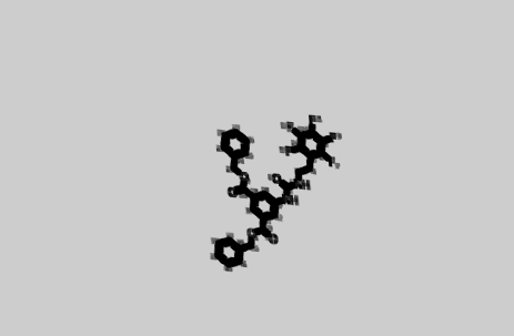 O=C(NCCc1c(F)c(F)c(F)c(F)c1F)Nc1cc(C(=O)OCc2ccccc2)cc(C(=O)OCc2ccccc2)c1